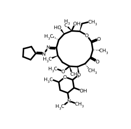 CC[C@H]1OC(=O)[C@H](C)C(=O)[C@H](C)[C@@H](OC2OC(C)CC(N(C)C)C2O)[C@](C)(OC)C[C@@H](C)/C(=N\N=C2CCCC2)[C@H](C)[C@@H](O)[C@]1(C)O